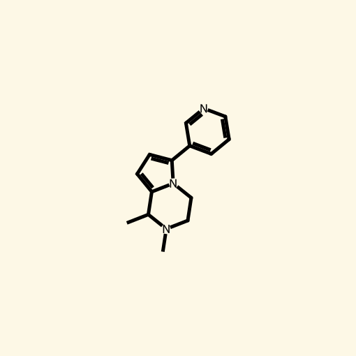 CC1c2ccc(-c3cccnc3)n2CCN1C